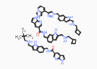 CC(C)(C)CNCc1cc2ccc(CNC(=O)c3cnc4[nH]ccc4c3)cc2[nH]1.O=C(NCc1ccc2cc(CNCC3CCC3)[nH]c2c1)c1cnc2[nH]ccc2c1.c1cc(-c2cn(Cc3ccc4cc(CNCC5CCC5)[nH]c4c3)nn2)c2cncn2c1